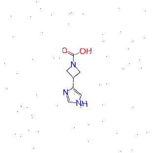 O=C(O)N1CC(c2c[nH]cn2)C1